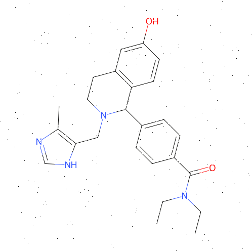 CCN(CC)C(=O)c1ccc(C2c3ccc(O)cc3CCN2Cc2[nH]cnc2C)cc1